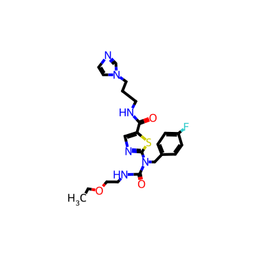 CCOCCNC(=O)N(Cc1ccc(F)cc1)c1ncc(C(=O)NCCCn2ccnc2)s1